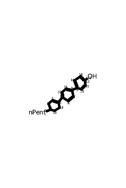 CCCCCC1CC=C(c2ccc(-c3ccc(O)cc3)cc2)CC1